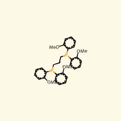 COc1ccccc1P(CCCP(c1ccccc1OC)c1ccccc1OC)c1ccccc1OC